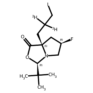 [2H]C([2H])(CI)C[C@@]12C[C@@H](F)CN1[C@@H](C(C)(C)C)OC2=O